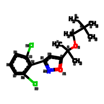 CC(C)(C)[SiH2]OC(C)(C)c1cc(-c2c(Cl)cccc2Cl)no1